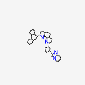 c1cc(-c2ccc3ccc4ccc(-c5cc6ccccc6c6ccccc56)nc4c3n2)cc(-c2cn3ccccc3n2)c1